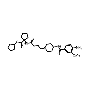 COc1cc(C(=O)NC2CCN(CCCC(=O)NC3(C(=O)OC4CCCC4)CCCC3)CC2)ccc1N